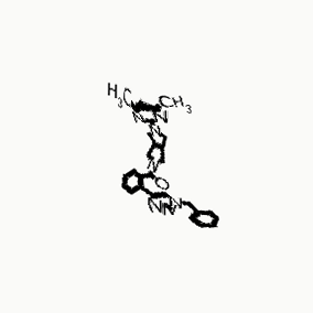 Cc1cc(C)nc(N2CC3CN(C(=O)c4ccccc4-c4cn(Cc5ccccc5)nn4)CC3C2)n1